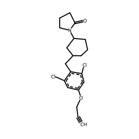 C#CCOc1cc(Cl)c(CC2CCCC(N3CCCC3=O)C2)c(Cl)c1